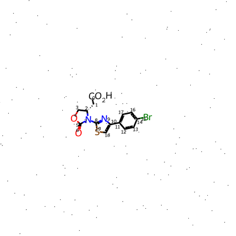 O=C(O)C[C@H]1COC(=O)N1c1nc(-c2ccc(Br)cc2)cs1